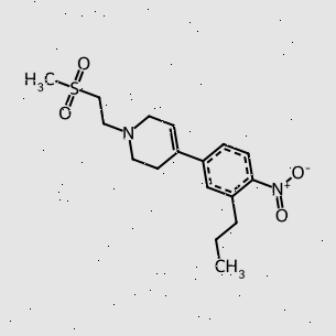 CCCc1cc(C2=CCN(CCS(C)(=O)=O)CC2)ccc1[N+](=O)[O-]